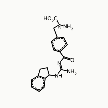 NC(=NC(=O)c1ccc(C[C@H](N)C(=O)O)cc1)NC1CCc2ccccc21